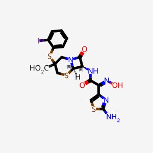 Nc1nc(C(=NO)C(=O)N[C@@H]2C(=O)N3CC(Sc4ccccc4I)(C(=O)O)CS[C@H]23)cs1